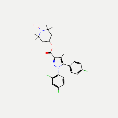 Cc1c(C(=O)OC2CC(C)(C)N(O)C(C)(C)C2)nn(-c2ccc(Cl)cc2Cl)c1-c1ccc(Cl)cc1